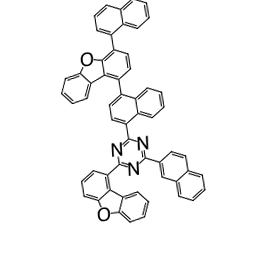 c1ccc2cc(-c3nc(-c4ccc(-c5ccc(-c6cccc7ccccc67)c6oc7ccccc7c56)c5ccccc45)nc(-c4cccc5oc6ccccc6c45)n3)ccc2c1